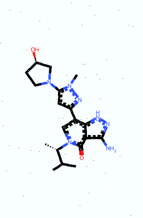 CC(C)[C@H](C)n1cc(-c2cc(N3CC[C@@H](O)C3)n(C)n2)c2[nH]nc(N)c2c1=O